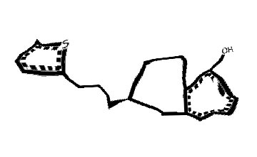 Oc1cccc2c1CC[C@H](CCCc1cccs1)C2